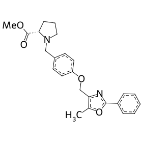 COC(=O)[C@@H]1CCCN1Cc1ccc(OCc2nc(-c3ccccc3)oc2C)cc1